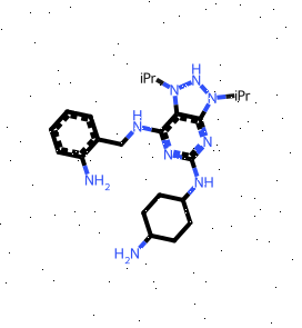 CC(C)N1NN(C(C)C)c2c(NCc3ccccc3N)nc(NC3CCC(N)CC3)nc21